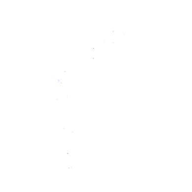 CCCCCCCCCCCCCCC[N+](C)(C)CCCCCCCCCCCCCC.[Br-]